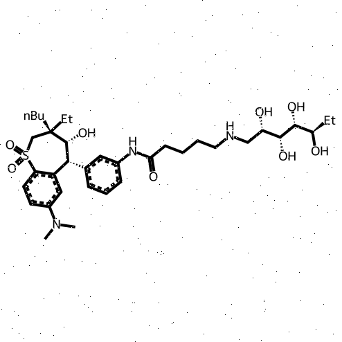 CCCC[C@]1(CC)CS(=O)(=O)c2ccc(N(C)C)cc2[C@@H](c2cccc(NC(=O)CCCCNC[C@H](O)[C@@H](O)[C@H](O)[C@H](O)CC)c2)[C@H]1O